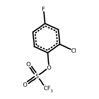 O=S(=O)(Oc1ccc(F)cc1Cl)C(F)(F)F